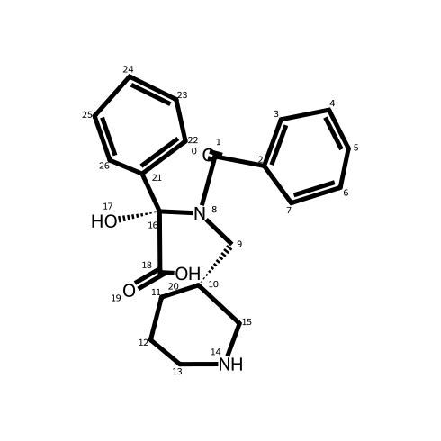 O=C(c1ccccc1)N(C[C@H]1CCCNC1)[C@@](O)(C(=O)O)c1ccccc1